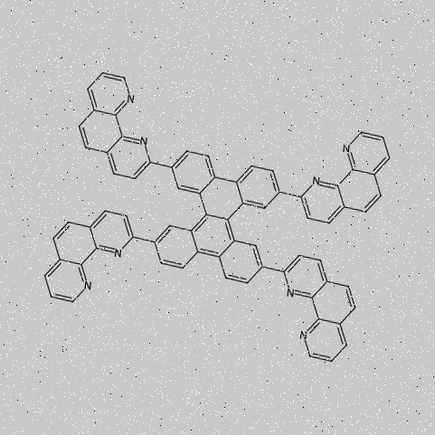 c1cnc2c(c1)ccc1ccc(-c3ccc4c5ccc(-c6ccc7ccc8cccnc8c7n6)cc5c5c6cc(-c7ccc8ccc9cccnc9c8n7)ccc6c6ccc(-c7ccc8ccc9cccnc9c8n7)cc6c5c4c3)nc12